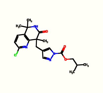 CC(C)COC(=O)n1cc(CC2(C)C(=O)NC(C)(C)c3ccc(Cl)nc32)cn1